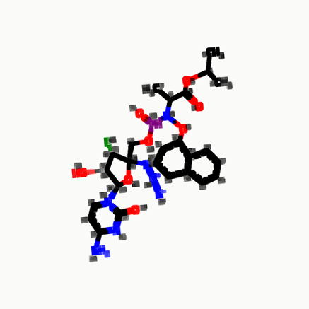 CC(C)OC(=O)C(C)N(Oc1cccc2ccccc12)[PH](=O)OC[C@@]1(N=[N+]=[N-])O[C@@H](n2ccc(N)nc2=O)[C@H](O)[C@@H]1F